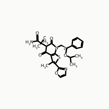 Cc1c(-c2ncco2)sc2c1C(=O)C(C(C)(C)C(N)=O)C(=O)N2C[C@H](OC(C)C)c1ccccc1